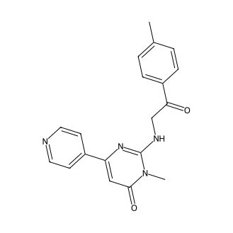 Cc1ccc(C(=O)CNc2nc(-c3ccncc3)cc(=O)n2C)cc1